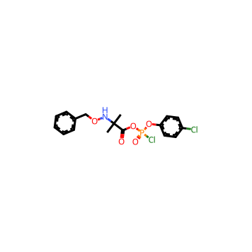 CC(C)(NOCc1ccccc1)C(=O)OP(=O)(Cl)Oc1ccc(Cl)cc1